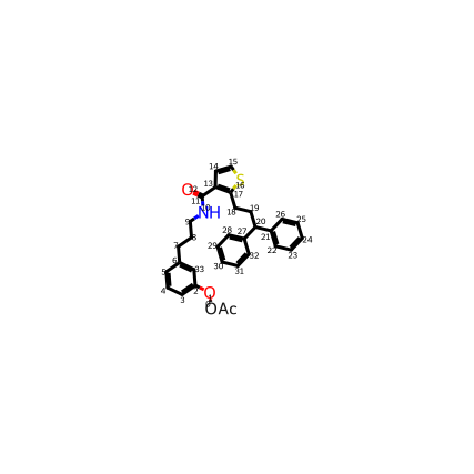 CC(=O)OOc1cccc(CCCNC(=O)c2ccsc2CCC(c2ccccc2)c2ccccc2)c1